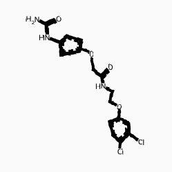 NC(=O)Nc1ccc(OCC(=O)NCCOc2ccc(Cl)c(Cl)c2)cc1